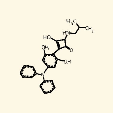 CC(C)CNC1C(=O)C(c2c(O)cc(N(c3ccccc3)c3ccccc3)cc2O)=C1O